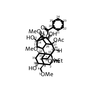 CCN1C[C@@]2(COC)C3[C@@H](OC)[C@H]4C1[C@@]3(C1C[C@@]3(O)[C@H](OC(=O)c5ccccc5)C1[C@]4(OC(C)=O)[C@@H](O)[C@@H]3OC)[C@@H](OC)C[C@H]2O